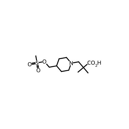 CC(C)(CN1CCC(COS(C)(=O)=O)CC1)C(=O)O